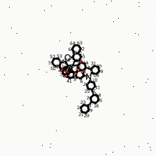 c1ccc(-c2ccc(N(c3ccc(-c4cccc(-c5ccccc5)c4)cc3)c3ccccc3-c3ccc4c(c3)-c3ccccc3C43c4ccc5ccccc5c4Oc4c3ccc3ccccc43)cc2)cc1